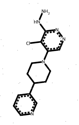 NNc1nncc(N2CCC(c3cccnc3)CC2)c1Cl